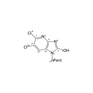 CCCCCn1c(O)nc2nc(Cl)c(Cl)cc21